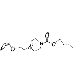 CCCCOC(=O)N1CCN(CCO[C]=O)CC1